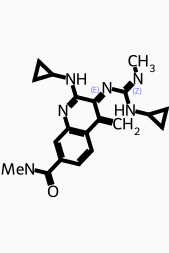 C=C1/C(=N\C(=N/C)NC2CC2)C(NC2CC2)=Nc2cc(C(=O)NC)ccc21